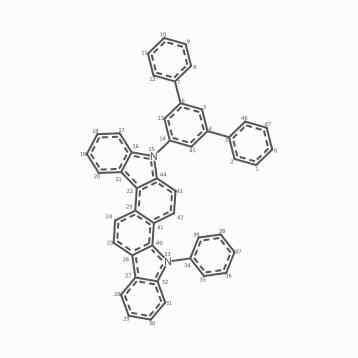 c1ccc(-c2cc(-c3ccccc3)cc(-n3c4ccccc4c4c5ccc6c7ccccc7n(-c7ccccc7)c6c5ccc43)c2)cc1